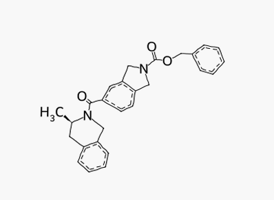 C[C@@H]1Cc2ccccc2CN1C(=O)c1ccc2c(c1)CN(C(=O)OCc1ccccc1)C2